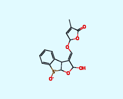 CC1=CC(O/C=C2/C(O)OC3C2c2ccccc2[S+]3[O-])OC1=O